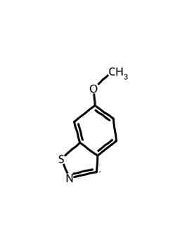 COc1ccc2[c]nsc2c1